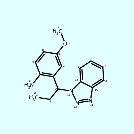 CCC(c1cc(OC)ccc1N)n1nnc2ccccc21